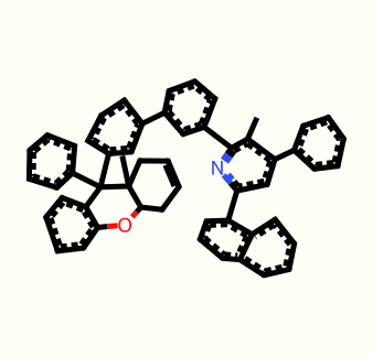 Cc1c(-c2ccccc2)cc(-c2cccc3ccccc23)nc1-c1cccc(-c2cccc(C3(c4ccccc4)c4ccccc4OC4CC=CCC43C)c2)c1